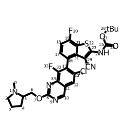 CN1CCCC1COc1ncc2cc(Cl)c(-c3ccc(F)c4sc(NC(=O)OC(C)(C)C)c(C#N)c34)c(F)c2n1